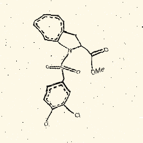 COC(=O)C1Cc2ccccc2N1S(=O)(=O)c1ccc(Cl)c(Cl)c1